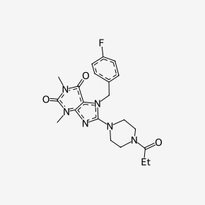 CCC(=O)N1CCN(c2nc3c(c(=O)n(C)c(=O)n3C)n2Cc2ccc(F)cc2)CC1